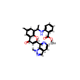 Cc1cc(C(C)Nc2ccccc2C(=O)OC(C)(C)C)c2oc(-c3nccc4cnn(C)c34)cc(=O)c2c1